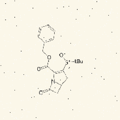 CC(C)(C)[S+]([O-])C1=C(C(=O)OCc2ccccc2)N2C(=O)CC2C1